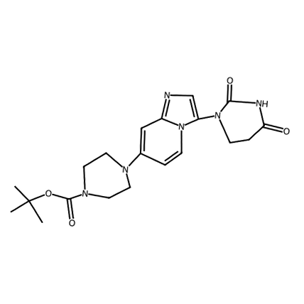 CC(C)(C)OC(=O)N1CCN(c2ccn3c(N4CCC(=O)NC4=O)cnc3c2)CC1